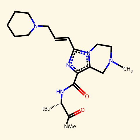 CNC(=O)[C@@H](NC(=O)c1nc(C=CCN2CCCCC2)n2c1CN(C)CC2)C(C)(C)C